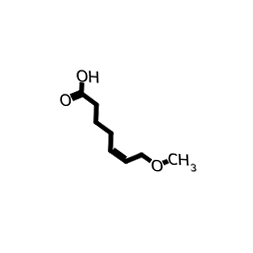 COC/C=C\CCCC(=O)O